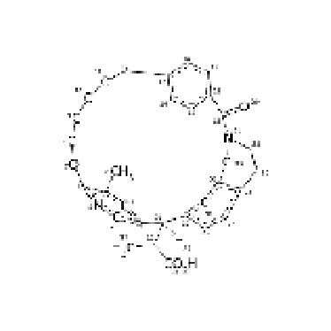 Cc1cc2cnc1OCCCCCc1ccc(cc1)C(=O)N1CCc3ccc(cc3C1)[C@H]2[C@@H](C)C(=O)O